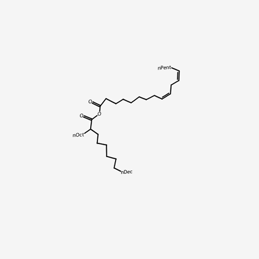 CCCCC/C=C\C/C=C\CCCCCCCC(=O)OC(=O)C(CCCCCCCC)CCCCCCCCCCCCCCCC